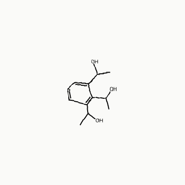 CC(O)c1cccc(C(C)O)c1C(C)O